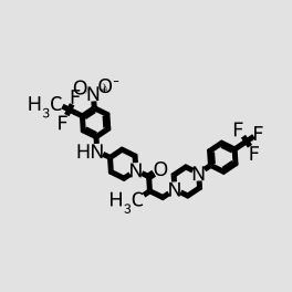 CC(CN1CCN(c2ccc(C(F)(F)F)cc2)CC1)C(=O)N1CCC(Nc2ccc([N+](=O)[O-])c(C(C)(F)F)c2)CC1